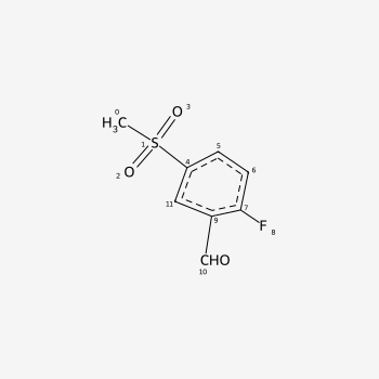 CS(=O)(=O)c1ccc(F)c(C=O)c1